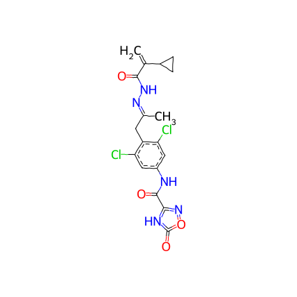 C=C(C(=O)N/N=C(\C)Cc1c(Cl)cc(NC(=O)c2noc(=O)[nH]2)cc1Cl)C1CC1